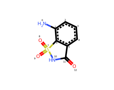 Nc1cccc2c1S(=O)(=O)NC2=O